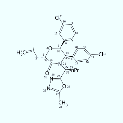 C=CC[C@@H]1O[C@@H](c2cccc(Cl)c2)[C@@H](c2ccc(Cl)cc2)N([C@@H](CCC)c2nnc(C)o2)C1=O